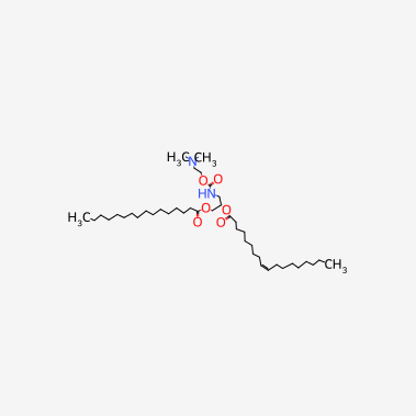 CCCCCCCC/C=C\CCCCCCCC(=O)OC(CNC(=O)OCCN(C)C)COC(=O)CCCCCCCCCCCCCCC